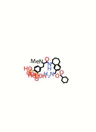 CNC(Cc1ccc(P(=O)(O)O)c(P(=O)(O)O)c1)C(=O)NC1CCCCc2cc(OCC3CCCCC3)c(C(N)=O)cc21